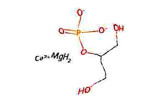 O=P([O-])([O-])OC(CO)CO.[Ca+2].[MgH2]